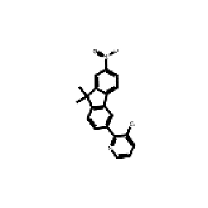 CC1(C)c2ccc(-c3ncccc3Cl)cc2-c2ccc([N+](=O)[O-])cc21